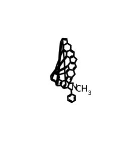 CN1CC23C=C4Cc5cc6c7c8c(cc9c%10c%11c%12c%13c%14c%15c(cc(c%14c%14c2c4c2c5c7c(c%12c%108)c2c%14%13)C3C1c1ccccc1)=CC(C9)C%15%11)C6